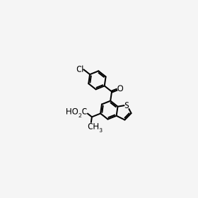 CC(C(=O)O)c1cc(C(=O)c2ccc(Cl)cc2)c2sccc2c1